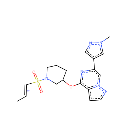 C/C=C/S(=O)(=O)N1CCCC(Oc2nc(-c3cnn(C)c3)cn3nccc23)C1